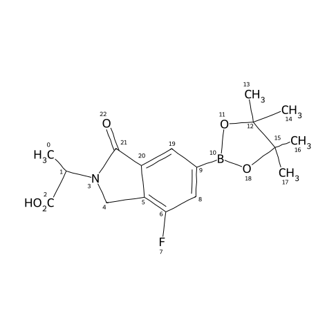 CC(C(=O)O)N1Cc2c(F)cc(B3OC(C)(C)C(C)(C)O3)cc2C1=O